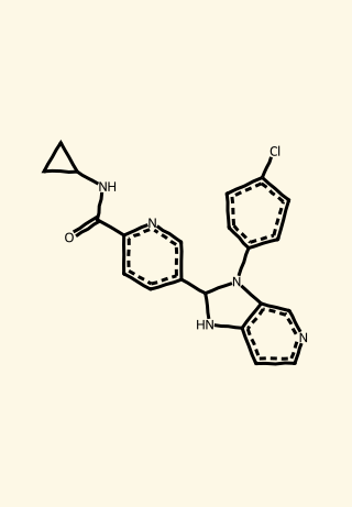 O=C(NC1CC1)c1ccc(C2Nc3ccncc3N2c2ccc(Cl)cc2)cn1